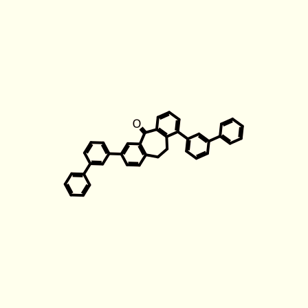 O=C1c2cc(-c3cccc(-c4ccccc4)c3)ccc2CCc2c1cccc2-c1cccc(-c2ccccc2)c1